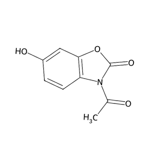 CC(=O)n1c(=O)oc2cc(O)ccc21